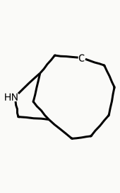 C1CCCC2CNC(CCC1)C2